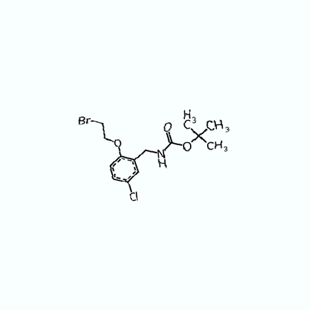 CC(C)(C)OC(=O)NCc1cc(Cl)ccc1OCCBr